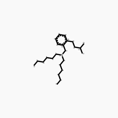 CCCCCCN(CCCCCC)Cc1c[c]ccc1CCC(C)C